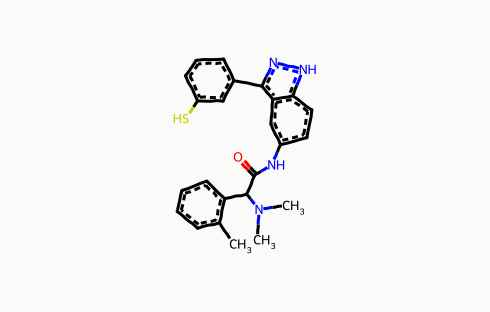 Cc1ccccc1C(C(=O)Nc1ccc2[nH]nc(-c3cccc(S)c3)c2c1)N(C)C